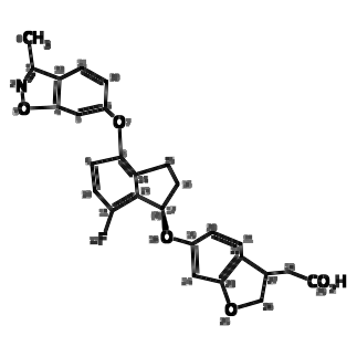 Cc1noc2cc(Oc3ccc(F)c4c3CC[C@H]4Oc3ccc4c(c3)OCC4CC(=O)O)ccc12